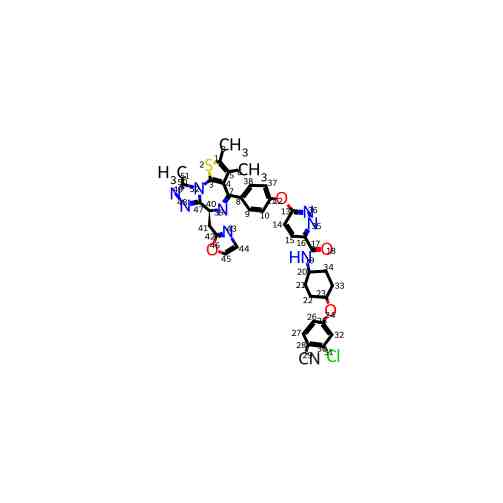 Cc1sc2c(c1C)C(c1ccc(Oc3ccc(C(=O)NC4CCC(Oc5ccc(C#N)c(Cl)c5)CC4)nn3)cc1)=N[C@@H](Cc1ncco1)c1nnc(C)n1-2